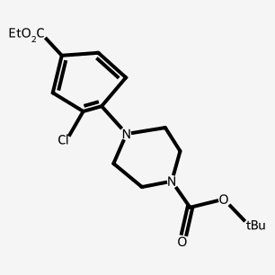 CCOC(=O)c1ccc(N2CCN(C(=O)OC(C)(C)C)CC2)c(Cl)c1